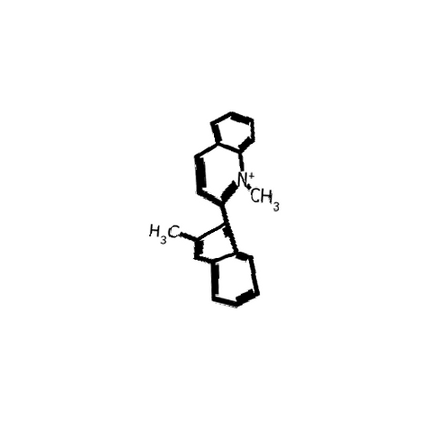 Cc1cc2ccccc2cc1-c1ccc2ccccc2[n+]1C